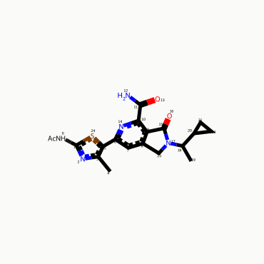 CC(=O)Nc1nc(C)c(-c2cc3c(c(C(N)=O)n2)C(=O)N(C(C)C2CC2)C3)s1